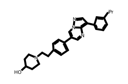 CC(C)c1cccc(-c2cnn3cc(-c4ccc(CCN5CCC(O)CC5)cc4)cnc23)c1